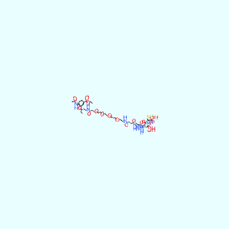 CCOC(=O)C1=C[C@@H](OC(CC)CCNC(=O)CCOCCOCCOCCOCCNC(=O)CCC(=O)NC[C@H](N)C(=O)N[C@@H](CC(=O)O)C(=O)N[C@@H](CS)C(=O)O)[C@H](NC(C)=O)CC1